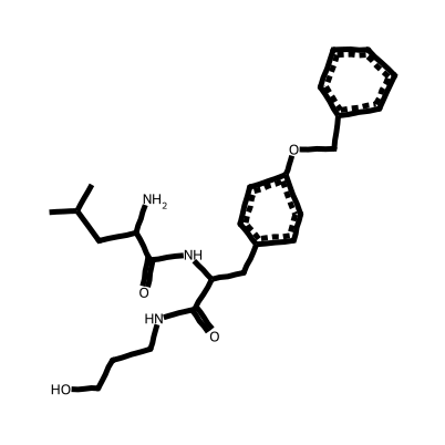 CC(C)CC(N)C(=O)NC(Cc1ccc(OCc2ccccc2)cc1)C(=O)NCCCO